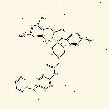 COc1cc(OC)c(CN(C)CC2(Cc3ccc(C(=O)O)cc3)CCN(CC(=O)Nc3ccc(Oc4ccccc4)cc3)CC2)c(OC)c1